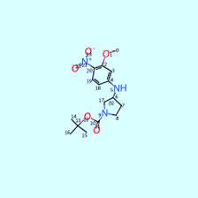 COc1cc(N[C@H]2CCN(C(=O)OC(C)(C)C)C2)ccc1[N+](=O)[O-]